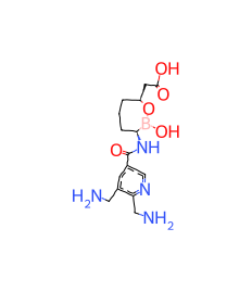 NCc1cc(C(=O)N[C@H]2CCC[C@@H](CC(=O)O)OB2O)cnc1CN